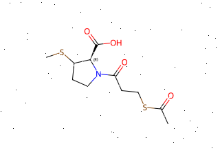 CSC1CCN(C(=O)CCSC(C)=O)[C@@H]1C(=O)O